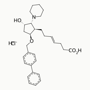 O=C(O)CC/C=C/CC[C@@H]1[C@@H](N2CCCCC2)[C@@H](O)C[C@@H]1OCc1ccc(-c2ccccc2)cc1.[Cl-].[H+]